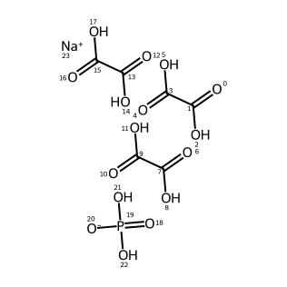 O=C(O)C(=O)O.O=C(O)C(=O)O.O=C(O)C(=O)O.O=P([O-])(O)O.[Na+]